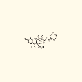 Cc1cc(I)ccc1Nc1c(C(=O)O)cc(C(=O)NCCN2CCOCC2)c(F)c1F